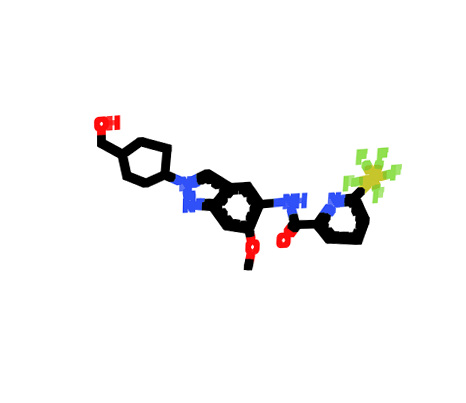 COc1cc2nn(C3CCC(CO)CC3)cc2cc1NC(=O)c1cccc(S(F)(F)(F)(F)F)n1